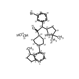 CC1CCc2ncnc(N3CCN(C(=O)C(c4cccc(Br)c4)C4CCC(C)(C)N4)CC3)c21.Cl.Cl